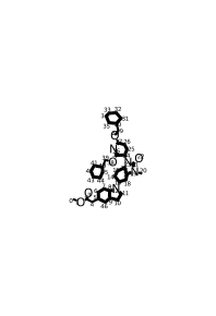 COC(=O)Cc1ccc2c(ccn2-c2ccc3c(c2)n(C)c(=O)n3-c2ccc(OCc3ccccc3)nc2OCc2ccccc2)c1